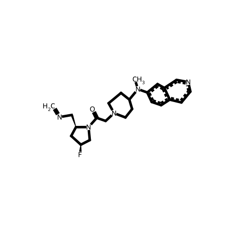 C=NC[C@@H]1C[C@H](F)CN1C(=O)CN1CCC(N(C)c2ccc3ccncc3c2)CC1